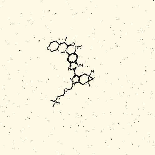 COc1cc2[nH]c(-c3nn(COCC[Si](C)(C)C)c4c3C[C@@H]3C[C@]3(C)C4)nc2cc1N(C)C(=O)[C@H](C)N1CCOCC1